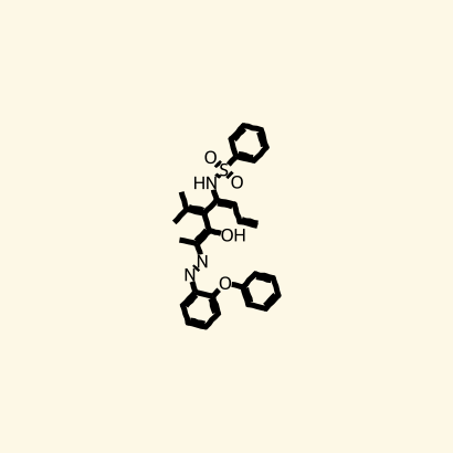 C=C/C=C(/NS(=O)(=O)c1ccccc1)C(=C(C)C)/C(O)=C(C)/N=N/c1ccccc1Oc1ccccc1